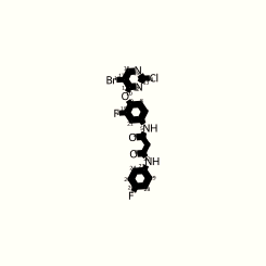 O=C(CC(=O)Nc1ccc(Oc2nc(Cl)ncc2Br)c(F)c1)Nc1ccc(F)cc1